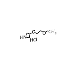 CCOCCOC1CNC1.Cl